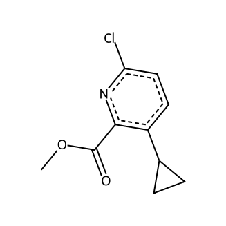 COC(=O)c1nc(Cl)ccc1C1CC1